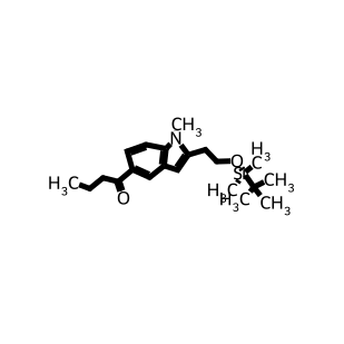 CCCC(=O)c1ccc2c(c1)cc(CCO[Si](C)(C)C(C)(C)C)n2C